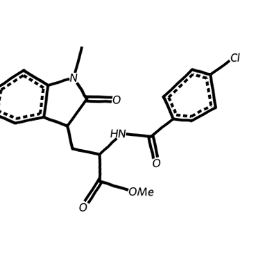 COC(=O)C(CC1C(=O)N(C)c2ccccc21)NC(=O)c1ccc(Cl)cc1